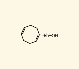 [OH][Rh-][C]1=CCCC=CCC1